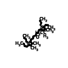 C=CCCN1C(/C=C\CC)=C(C)C(C)/C1=C\C=C\C(=O)/C=C/C=C1/N(CCC=C)C(/C=C\C)=C(C)C1(C)C